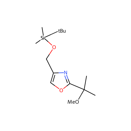 COC(C)(C)c1nc(CO[Si](C)(C)C(C)(C)C)co1